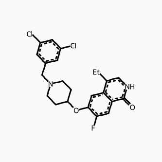 CCc1c[nH]c(=O)c2cc(F)c(OC3CCN(Cc4cc(Cl)cc(Cl)c4)CC3)cc12